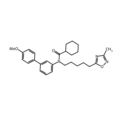 COc1ccc(-c2cccc(N(CCCCCc3nc(C)no3)C(=O)C3CCCCC3)c2)cc1